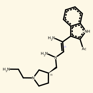 CC(=O)c1[nH]c2ccccc2c1/C(N)=C/N(N)C[C@H]1CCN(CCN)C1